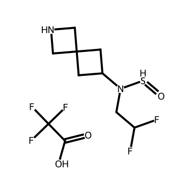 O=C(O)C(F)(F)F.O=[SH]N(CC(F)F)C1CC2(CNC2)C1